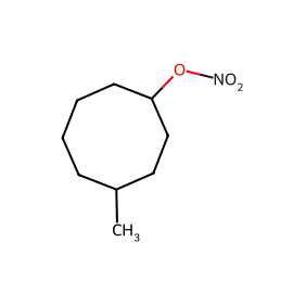 CC1CCCCC(O[N+](=O)[O-])CC1